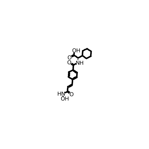 O=C(C=Cc1ccc(C(=O)N[C@H](C(=O)O)C2CCCCC2)cc1)NO